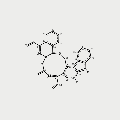 C=CC1=NC2CC(=C)/N=C(/C=C)c3cnc4oc5ccccc5c4c3CCC2c2ccccc21